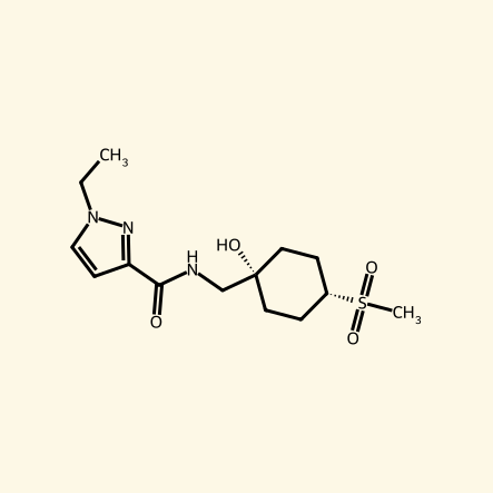 CCn1ccc(C(=O)NC[C@]2(O)CC[C@@H](S(C)(=O)=O)CC2)n1